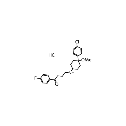 COC1(c2ccc(Cl)cc2)CCC(NCCCC(=O)c2ccc(F)cc2)CC1.Cl